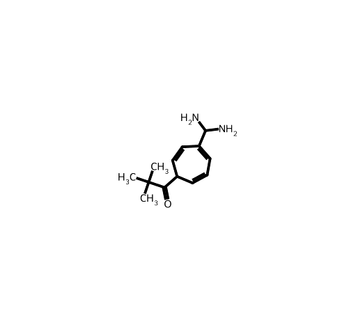 CC(C)(C)C(=O)C1C=CC=C(C(N)N)C=C1